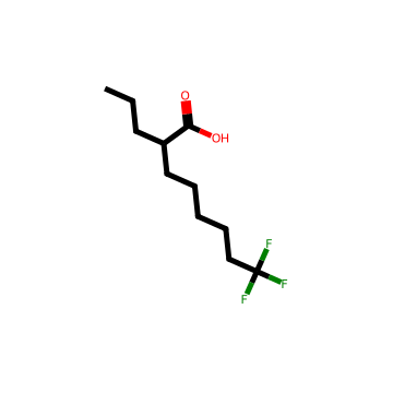 CCCC(CCCCCC(F)(F)F)C(=O)O